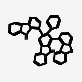 c1ccc(-c2c(-c3cccc4c3[nH]c3ccccc34)cc3c([nH]c4ccccc43)c2-c2cccc3oc4ccccc4c23)cc1